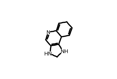 C1=CC2C(=CC1)N=CC1=C2NCN1